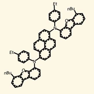 CCCCc1cccc2c1oc1c(N(c3ccc(CC)cc3)c3ccc4ccc5c(N(c6ccc(CC)cc6)c6cccc7c6oc6c(CCCC)cccc67)ccc6ccc3c4c65)cccc12